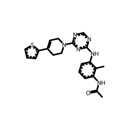 CC(=O)Nc1cccc(Nc2ncnc(N3CC=C(c4cccs4)CC3)n2)c1C